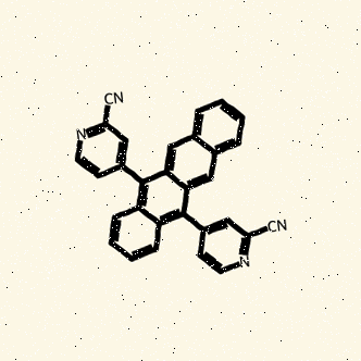 N#Cc1cc(-c2c3ccccc3c(-c3ccnc(C#N)c3)c3cc4ccccc4cc23)ccn1